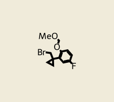 COCOc1ccc(F)cc1C1(CBr)CC1